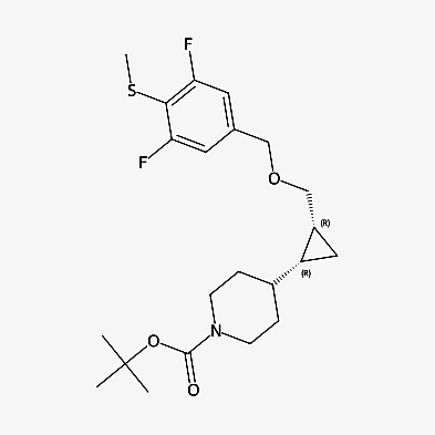 CSc1c(F)cc(COC[C@@H]2C[C@@H]2C2CCN(C(=O)OC(C)(C)C)CC2)cc1F